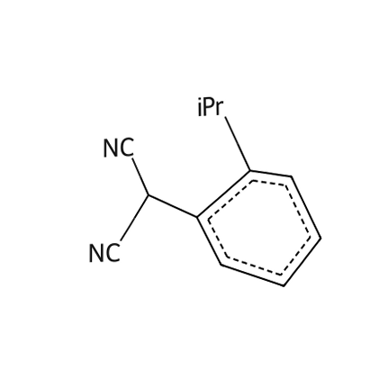 CC(C)c1ccccc1C(C#N)C#N